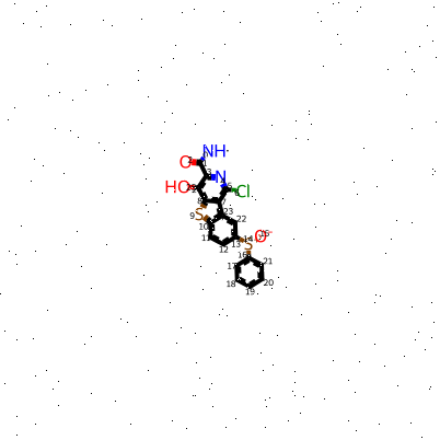 [NH]C(=O)c1nc(Cl)c2c(sc3ccc([S+]([O-])c4ccccc4)cc32)c1O